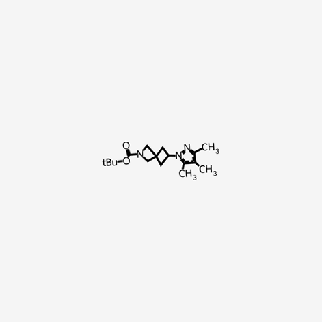 Cc1nn(C2CC3(C2)CN(C(=O)OC(C)(C)C)C3)c(C)c1C